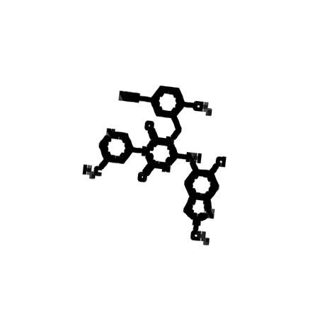 Cc1cncc(-n2c(=O)nc(Nc3cc4cn(C)nc4cc3Cl)n(Cc3cc(C#N)ccc3C)c2=O)c1